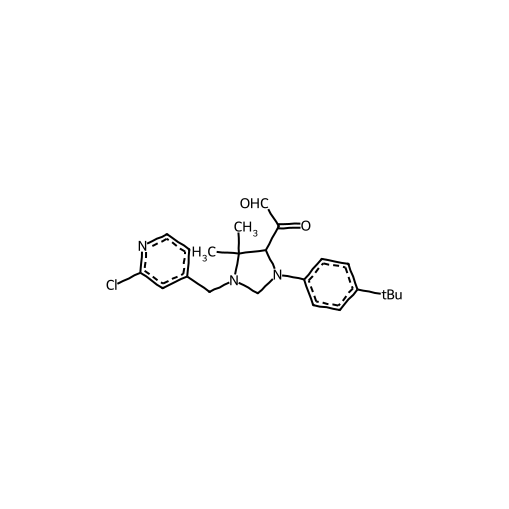 CC(C)(C)c1ccc(N2CN(Cc3ccnc(Cl)c3)C(C)(C)C2C(=O)C=O)cc1